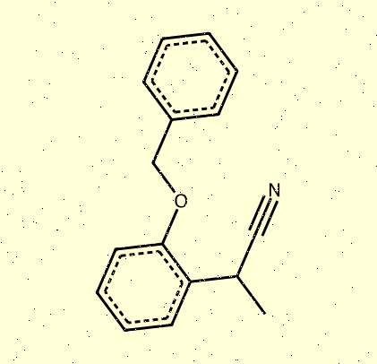 CC(C#N)c1ccccc1OCc1ccccc1